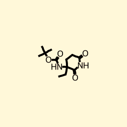 CCC1(NC(=O)OC(C)(C)C)CCC(=O)NC1=O